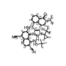 CC(C)(C)CNc1c(C#N)cnc2c(C#N)cc(N[C@H](C3=CN(C4(C(F)(F)F)CC4)NN3)c3cccc4c(=O)n(C(F)F)ccc34)cc12